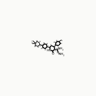 Cc1ccc(-c2cc(-c3ccc(C4CCC(C)(C)CC4)cc3)[nH]c(=O)c2/C(N)=N/N)cc1